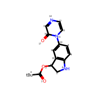 CC(C)(C)C(=O)OC1CNc2ccc(-n3ccncc3=O)cc21